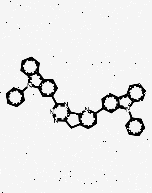 c1ccc(-n2c3ccccc3c3ccc(-c4ccc5c(n4)-c4nc(-c6ccc7c8ccccc8n(-c8ccccc8)c7c6)nnc4C5)cc32)cc1